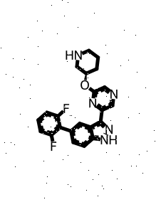 Fc1cccc(F)c1-c1ccc2[nH]nc(-c3cncc(O[C@@H]4CCCNC4)n3)c2c1